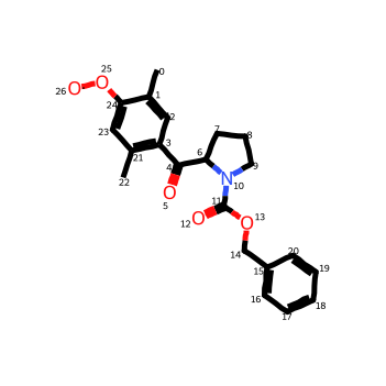 Cc1[c]c(C(=O)C2CCCN2C(=O)OCc2ccccc2)c(C)cc1O[O]